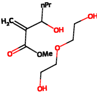 C=C(C(=O)OC)C(O)CCC.OCCOCCO